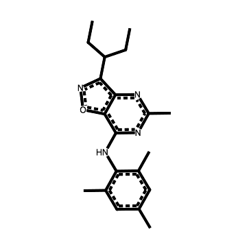 CCC(CC)c1noc2c(Nc3c(C)cc(C)cc3C)nc(C)nc12